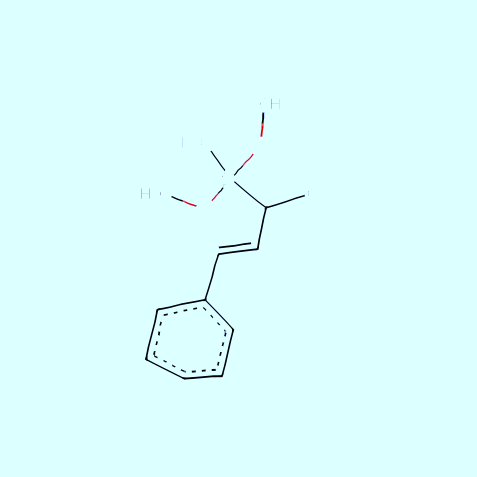 CO[Si](C)(OC)C(C)C=Cc1ccccc1